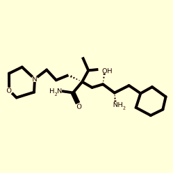 CC(C)[C@@](CCCN1CCOCC1)(C[C@H](O)[C@@H](N)CC1CCCCC1)C(N)=O